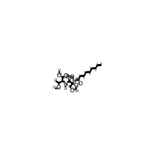 C=C/C=C/C=C/C=C/C(=O)N(O)C1(C(=O)N(C)C(C(=O)OC)C(C)OC)COCO1